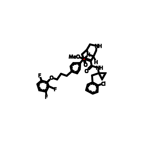 COC(=O)N1C2CNC[C@@H]1C(C(=O)NC1(Cc3ccccc3Cl)CC1)=C(c1ccc(CCCOc3c(F)ccc(F)c3F)cc1)C2